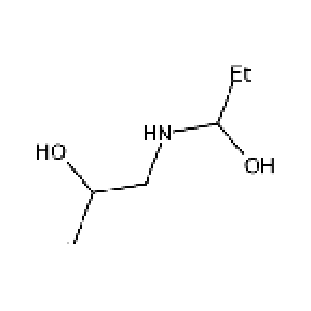 [CH2]C(O)CNC(O)CC